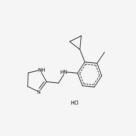 Cc1cccc(NCC2=NCCN2)c1C1CC1.Cl